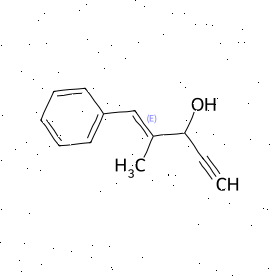 C#CC(O)/C(C)=C/c1ccccc1